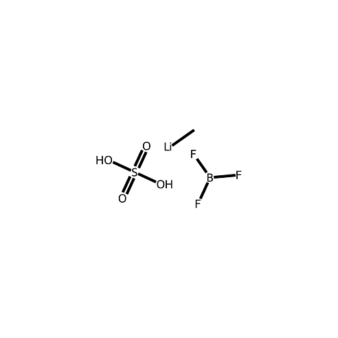 FB(F)F.O=S(=O)(O)O.[Li][CH3]